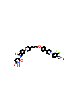 Cc1ccc(N2CCC(c3ccc(OCCCCC4CCN(c5ccc6c(c5)CN(C5CCC(=O)NC5=O)C6=O)CC4)cc3)CC2)cc1C(F)(F)F